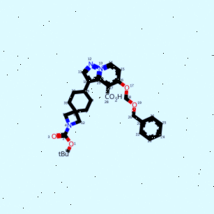 CC(C)(C)OC(=O)N1CC2(CCC(c3cnn4ccc(OCOCc5ccccc5)c(C(=O)O)c34)CC2)C1